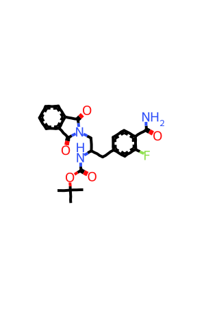 CC(C)(C)OC(=O)NC(Cc1ccc(C(N)=O)c(F)c1)CN1C(=O)c2ccccc2C1=O